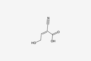 N#CC(=CCO)C(=O)O